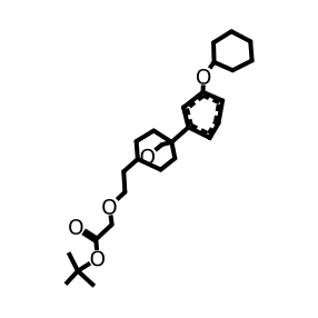 CC(C)(C)OC(=O)COCCC12CCC(c3cccc(OC4CCCCC4)c3)(CC1)CO2